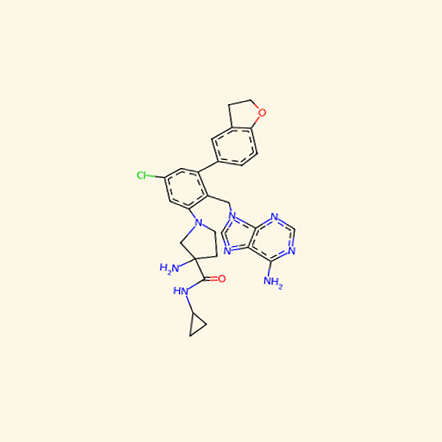 Nc1ncnc2c1ncn2Cc1c(-c2ccc3c(c2)CCO3)cc(Cl)cc1N1CCC(N)(C(=O)NC2CC2)C1